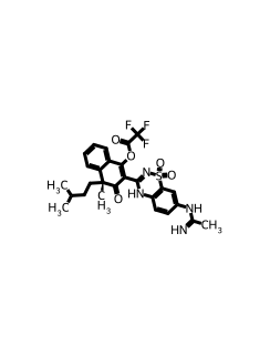 CC(=N)Nc1ccc2c(c1)S(=O)(=O)N=C(C1=C(OC(=O)C(F)(F)F)c3ccccc3[C@@](C)(CCC(C)C)C1=O)N2